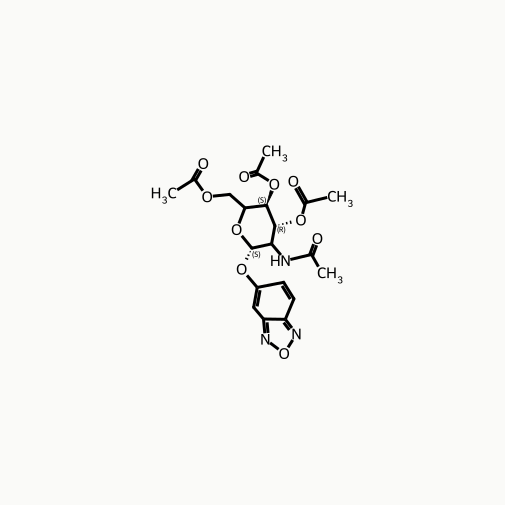 CC(=O)NC1[C@H](Oc2ccc3nonc3c2)OC(COC(C)=O)[C@@H](OC(C)=O)[C@@H]1OC(C)=O